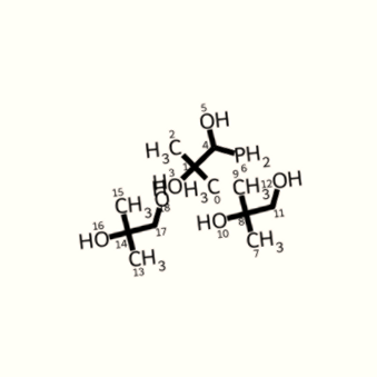 CC(C)(O)C(O)P.CC(C)(O)CO.CC(C)(O)CO